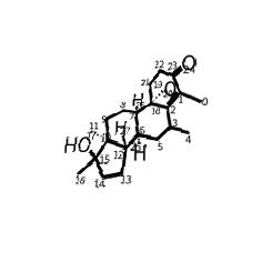 CC1=C2C(C)C[C@@H]3[C@@H](CC[C@@]4(C)[C@H]3CCC4(C)O)[C@@]2(C=O)CCC1=O